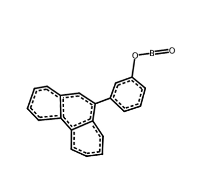 O=BOc1cccc(-c2cc3ccccc3c3ccccc23)c1